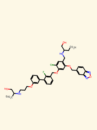 CCOC(=O)C(CO)NCCCOc1cccc(-c2cccc(COc3cc(OCc4ccc5nonc5c4)c(CNC(CO)CC(=O)O)cc3Cl)c2F)c1